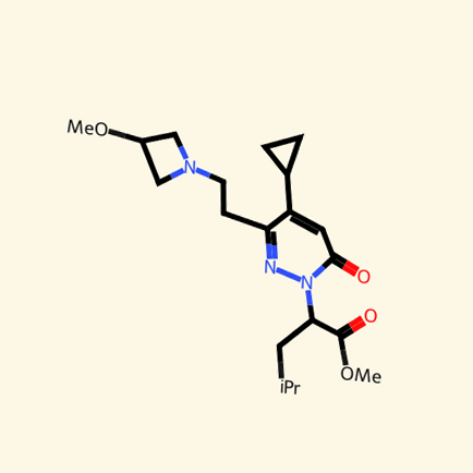 COC(=O)C(CC(C)C)n1nc(CCN2CC(OC)C2)c(C2CC2)cc1=O